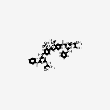 CC(CO)Nc1nc(Nc2ccccc2)nc(Nc2ccc(C=Cc3ccc(Nc4nc(Nc5ccccc5)nc(NC(C)CO)n4)cc3S(=O)(=O)O)c(S(=O)(=O)O)c2)n1